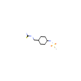 CCCS(=O)(=O)NC1CCC(CNC(N)=S)CC1